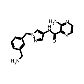 NCc1cccc(Cn2cc(NC(=O)c3nccnc3N)cn2)c1